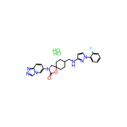 Cl.Cl.O=C1OC2(CCC(CNc3ccn(-c4ccccc4F)n3)CC2)CN1c1ccc2nncn2c1